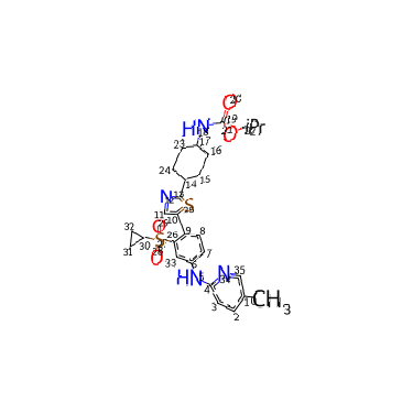 Cc1ccc(Nc2ccc(-c3cnc(C4CCC(NC(=O)OC(C)C)CC4)s3)c(S(=O)(=O)C3CC3)c2)nc1